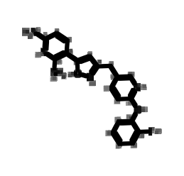 Nc1ccc(-c2cc(Cc3ccc(Oc4ccccc4F)nc3)no2)c(N)n1